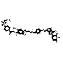 C=CS(=O)(=O)NC1CCN(C(=O)CNc2cc(Cl)c(CCCCNCc3ccc(OCc4scc5c4CN(C4CCC(=O)NC4=O)C5=O)cc3)cc2O)CC1